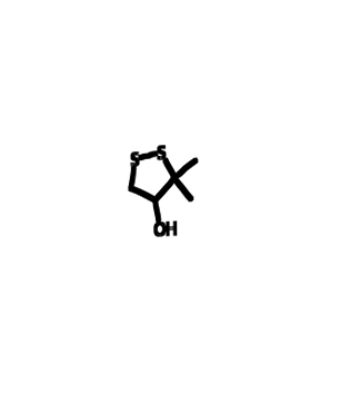 CC1(C)SSCC1O